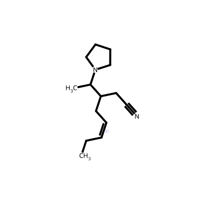 CC/C=C\CC(CC#N)C(C)N1CCCC1